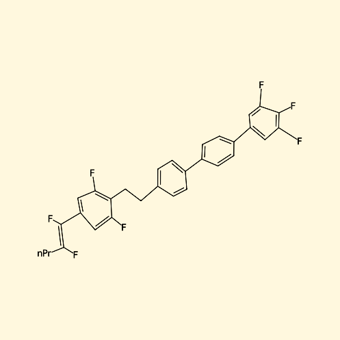 CCC/C(F)=C(\F)c1cc(F)c(CCc2ccc(-c3ccc(-c4cc(F)c(F)c(F)c4)cc3)cc2)c(F)c1